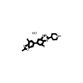 Cc1nc2c(C)cc(-c3cc(F)c4nc(C5CCNCC5)nnc4c3)cc2o1.Cl